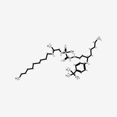 CCCCCCCCCCOC(C)COP(=O)(O)C(=O)OSCCC(CCCCC)Oc1ccc(C(C)(C)C)cc1